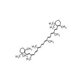 CC1=C(/C=C/C(C)=C\C=C\C(C)=C\C=C\C=C(C)\C=C\C=C(C)\C=C\C2=C(C)CCCC2(C)C)C(C)(C)CCC1